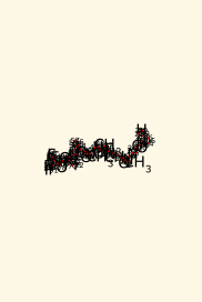 CN(CCN1CCC(OC(=O)Nc2ccccc2-c2ccccc2)CC1)C(=O)CCCCCN(C)c1cccc(C(=O)N(C)CCCN(C)C(=O)CO[C@H]2Cc3ccccc3C23CCN(CC[C@]2(c4ccc(F)cc4)CN(C(=O)c4cc(C(F)(F)F)cc(C(F)(F)F)c4)CO2)CC3)c1